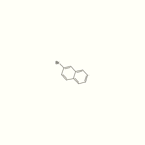 Brc1ccc2cc[c]cc2c1